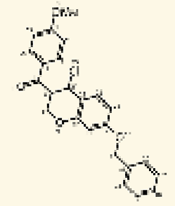 COc1ccc(C(=O)C2COc3cc(OCc4ccccc4)ccc3C2Cl)cc1